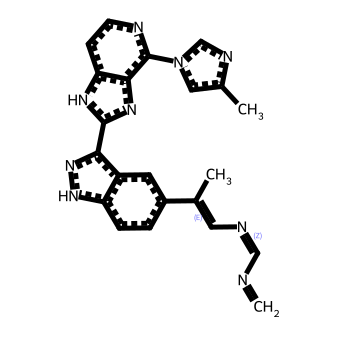 C=N/C=N\C=C(/C)c1ccc2[nH]nc(-c3nc4c(-n5cnc(C)c5)nccc4[nH]3)c2c1